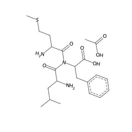 CC(=O)O.CSCCC(N)C(=O)N(C(=O)C(N)CC(C)C)C(Cc1ccccc1)C(=O)O